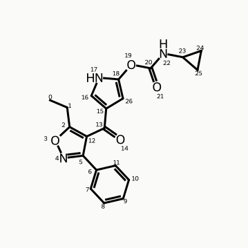 CCc1onc(-c2ccccc2)c1C(=O)c1c[nH]c(OC(=O)NC2CC2)c1